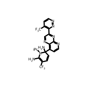 CC(C)N1C(N)=C(C(F)(F)F)C=CC1(N)c1ccnc2nc(-c3nnccc3C(F)(F)F)cnc12